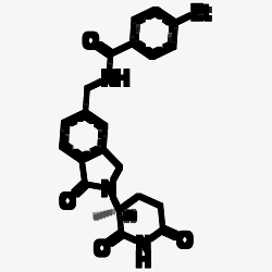 CCc1ccc(C(=O)NCc2ccc3c(c2)CN([C@@]2(C)CCC(=O)NC2=O)C3=O)cc1